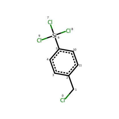 ClCc1ccc([Si](Cl)(Cl)Cl)cc1